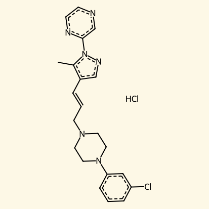 Cc1c(/C=C/CN2CCN(c3cccc(Cl)c3)CC2)cnn1-c1cnccn1.Cl